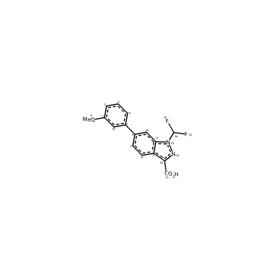 COc1cccc(-c2ccc3c(C(=O)O)nn(C(F)F)c3c2)c1